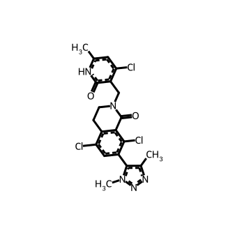 Cc1cc(Cl)c(CN2CCc3c(Cl)cc(-c4c(C)nnn4C)c(Cl)c3C2=O)c(=O)[nH]1